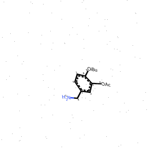 CC(=O)Oc1cc(CN)ccc1OCC(C)C